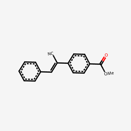 COC(=O)c1ccc(/C(C#N)=C/c2ccccc2)cc1